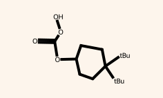 CC(C)(C)C1(C(C)(C)C)CCC(OC(=O)OO)CC1